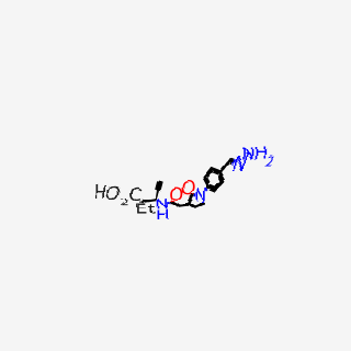 C#C[C@@H](NC(=O)CC1CCN(c2ccc(C=NN)cc2)C1=O)C(CC)C(=O)O